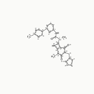 C[C@@H](C(=O)Nc1cccc(-c2cnc(C(F)(F)F)nc2)n1)n1[nH]c2c1c(=O)n(Cc1ccon1)c(=O)n2C